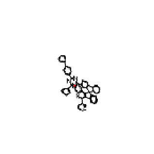 c1ccc(-c2ccc(-c3nc(-c4ccccc4)nc(-c4ccc5c(c4)C4(c6ccccc6-5)c5ccccc5-c5c(-c6ccccc6)nc6ccccc6c54)n3)cc2)cc1